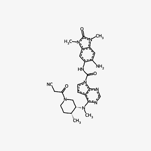 C[C@@H]1CCN(C(=O)CC#N)C[C@@H]1N(C)c1ncnc2c1ccn2C(=O)Nc1cc2c(cc1N)n(C)c(=O)n2C